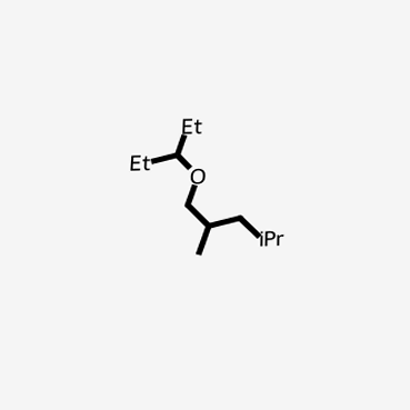 CCC(CC)OCC(C)CC(C)C